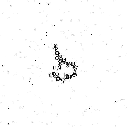 CCC(C)(CCNC(=O)COCC(=O)NC(CCCCN)C(=O)Nc1ccc(COC(=O)C(C)(C)C)cc1)OCCC(C)(CC)OCCn1cc(CNC(=O)C2CCC(CN3C(=O)C=CC3=O)CC2)nn1